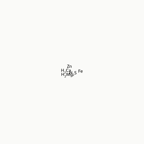 S.[CaH2].[Fe].[MgH2].[Zn]